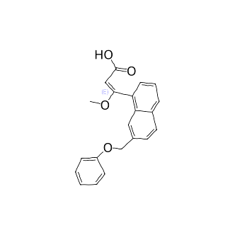 CO/C(=C/C(=O)O)c1cccc2ccc(COc3ccccc3)cc12